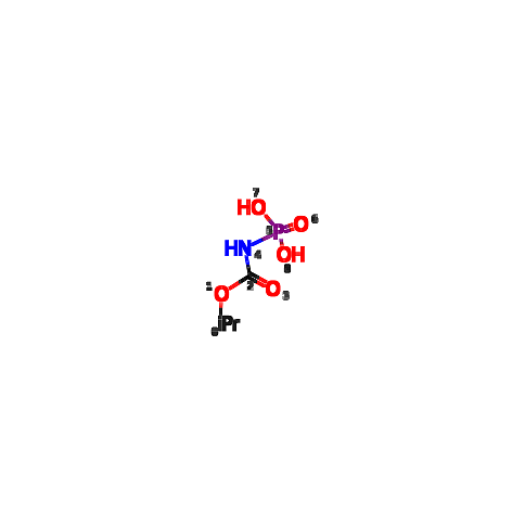 CC(C)OC(=O)NP(=O)(O)O